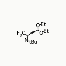 CCOC(C#C/C(=N\C(C)(C)C)C(F)(F)F)OCC